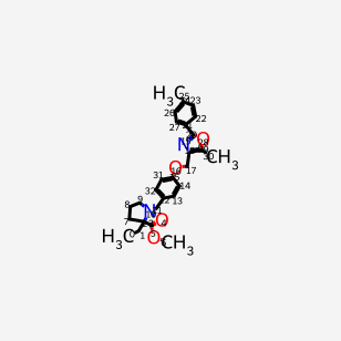 CCC1(C(=O)OC)CCCN1Cc1ccc(OCc2nc(-c3ccc(C)cc3)oc2C)cc1